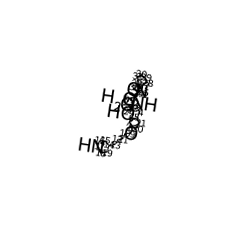 C=C(NC(Cc1ccc(OCCCCC2CCNCC2)cc1)C(=O)O)c1nc2ccccc2o1